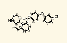 Clc1cccc(Oc2ccc(Nc3ncnc4ccc5c(c34)OCCN5)cc2)c1